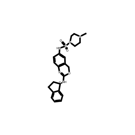 CN1CCN(S(=O)(=O)Nc2ccc3c(c2)COC(N[C@@H]2CCc4ccccc42)=N3)CC1